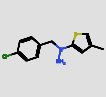 Cc1csc(N(N)Cc2ccc(Cl)cc2)c1